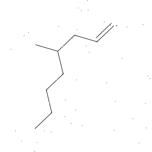 [CH]=CCC(C)CCCC